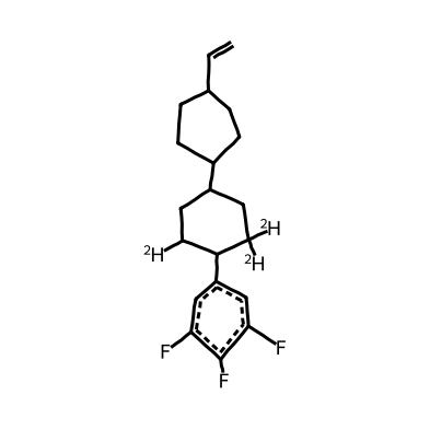 [2H]C1CC(C2CCC(C=C)CC2)CC([2H])([2H])C1c1cc(F)c(F)c(F)c1